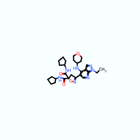 CCn1ncc2c(NC3CCOCC3)c(C3=NOC(C(=O)NC4CCCC4)(C(=O)NC4CCCC4)C3)cnc21